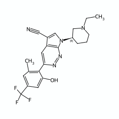 CCN1CCC[C@@H](n2cc(C#N)c3cc(-c4c(C)cc(C(F)(F)F)cc4O)nnc32)C1